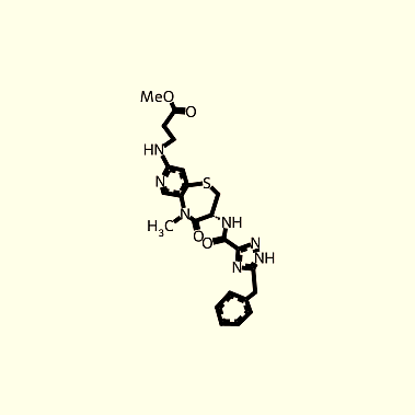 COC(=O)CCNc1cc2c(cn1)N(C)C(=O)[C@@H](NC(=O)c1n[nH]c(Cc3ccccc3)n1)CS2